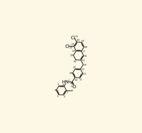 Cc1ccccc1NC(=O)c1ccc(CC2=Cc3ccc(Cl)c(Cl)c3CC2)cc1